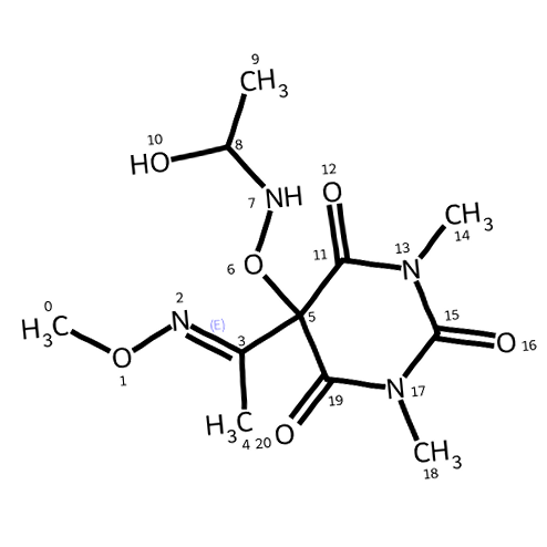 CO/N=C(\C)C1(ONC(C)O)C(=O)N(C)C(=O)N(C)C1=O